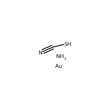 N.N#CS.[Au]